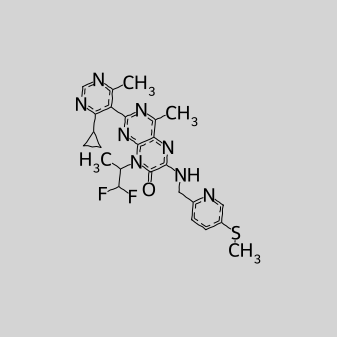 CSc1ccc(CNc2nc3c(C)nc(-c4c(C)ncnc4C4CC4)nc3n(C(C)C(F)F)c2=O)nc1